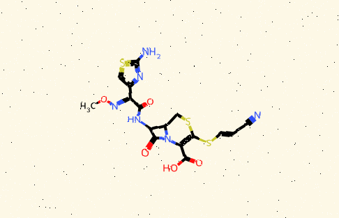 CON=C(C(=O)NC1C(=O)N2C(C(=O)O)=C(SC=CC#N)SCC12)c1csc(N)n1